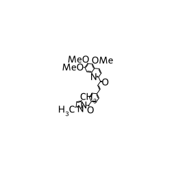 COc1cc2nc(C(=O)C=Cc3ccc(C(=O)n4nc(C)cc4C)cc3)ccc2c(OC)c1OC